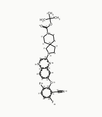 CC(C)(C)OC(=O)N1CCC2(CC1)CCN(c1cnc3ccc(Oc4c(F)ccc(F)c4C#N)cc3n1)C2